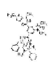 Cc1ccc(C(C)NC(=O)c2cc(C(=O)N[C@@H](Cc3ccccc3)[C@H](O)CN(C)[C@@H](C)c3ccccc3)cc(N(C)S(C)(=O)=O)c2)o1